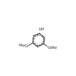 COc1cccc(OC)c1.[LiH]